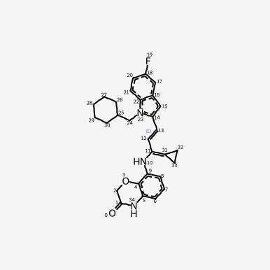 O=C1COc2c(cccc2NC(/C=C/c2cc3cc(F)ccc3n2CC2CCCCC2)=C2CC2)N1